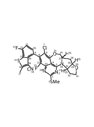 CSc1nc2c3c(c(Cl)c(-c4ccc(F)c5sc(C)c(C#N)c45)c(F)c3n1)OC[C@@H]1C[C@@H]3OCC[C@@H]3N21